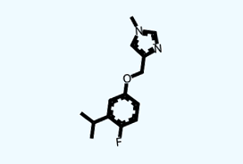 CC(C)c1cc(OCc2cn(C)cn2)ccc1F